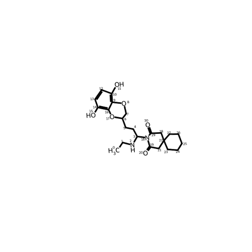 CCNC(CCC1COc2c(O)ccc(O)c2O1)N1C(=O)CC2(CCCCC2)CC1=O